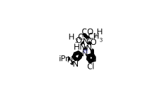 CC(C)n1cnc2cc(/N=c3\[nH]c(=O)n([C@@H](C)[C@@H](C)C(=O)O)c(=O)n3Cc3ccc(Cl)cc3)ccc21